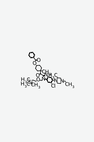 CCN1CCN(c2cc3nc(C(=O)C4(C)CCC(OC(=O)c5ccccc5)CC4)n(COCC[Si](C)(C)C)c3cc2Cl)C(C)C1